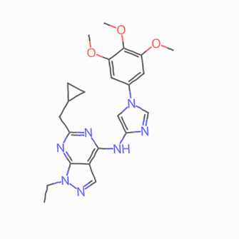 CCn1ncc2c(Nc3cn(-c4cc(OC)c(OC)c(OC)c4)cn3)nc(CC3CC3)nc21